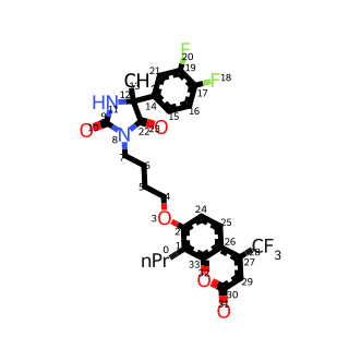 CCCc1c(OCCCCN2C(=O)NC(C)(c3ccc(F)c(F)c3)C2=O)ccc2c(C(F)(F)F)cc(=O)oc12